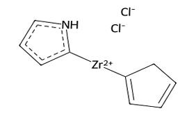 C1=CC[C]([Zr+2][c]2ccc[nH]2)=C1.[Cl-].[Cl-]